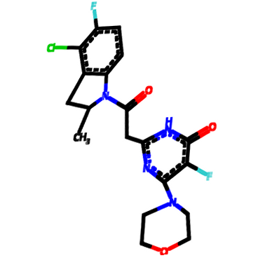 CC1Cc2c(ccc(F)c2Cl)N1C(=O)Cc1nc(N2CCOCC2)c(F)c(=O)[nH]1